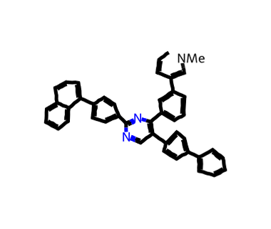 C/C=C\C(=C/NC)c1cccc(-c2nc(-c3ccc(-c4cccc5ccccc45)cc3)ncc2-c2ccc(-c3ccccc3)cc2)c1